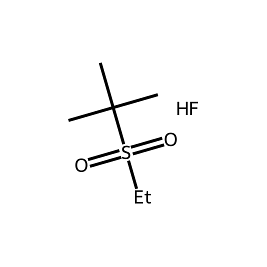 CCS(=O)(=O)C(C)(C)C.F